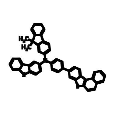 CC1(C)c2ccccc2-c2ccc(N(c3ccc(-c4ccc5c(c4)sc4ccc6ccccc6c45)cc3)c3ccc4sc5ccccc5c4c3)cc21